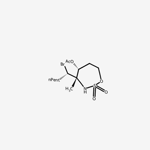 CCCCC[C@H](Br)[C@@]1(C)NS(=O)(=O)OCC[C@H]1OC(C)=O